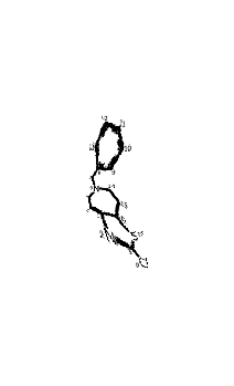 ClC1=NC2=CCN(Cc3ccccc3)CCC2S1